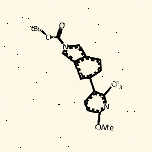 COc1ccc(-c2ccc3cn(C(=O)OC(C)(C)C)cc3c2)c(C(F)(F)F)n1